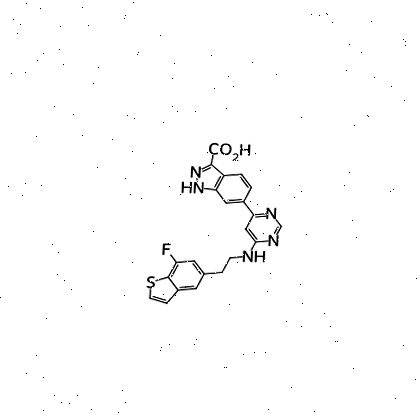 O=C(O)c1n[nH]c2cc(-c3cc(NCCc4cc(F)c5sccc5c4)ncn3)ccc12